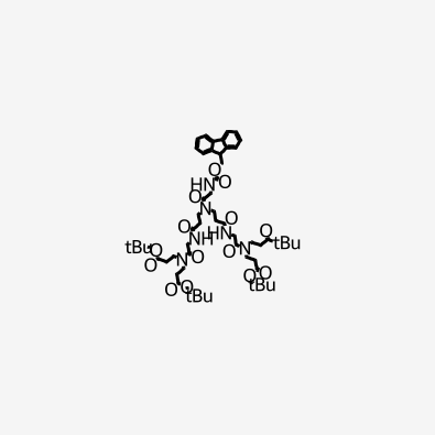 CC(C)(C)OC(=O)CCN(CCC(=O)OC(C)(C)C)C(=O)CNC(=O)CCN(CCC(=O)NCC(=O)N(CCC(=O)OC(C)(C)C)CCC(=O)C(C)(C)C)C(=O)CNC(=O)OCC1c2ccccc2-c2ccccc21